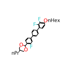 CCCCCCOc1ccc(-c2ccc(-c3ccc(C4OCC(CCC)CO4)c(F)c3)cc2)c(F)c1F